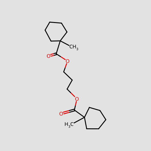 CC1(C(=O)OCCCOC(=O)C2(C)CCCCC2)CCCCC1